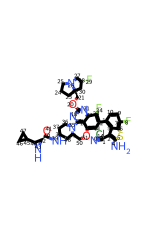 N#Cc1c(N)sc2c(F)ccc(-c3c(Cl)c4c5c(nc(OC[C@@]67CCCN6C[C@H](F)C7)nc5c3F)N3CCC(NC(=O)[C@@H]5NC5C5CC5)CC3CO4)c12